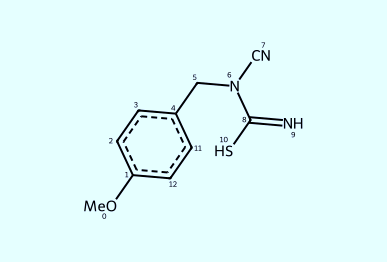 COc1ccc(CN(C#N)C(=N)S)cc1